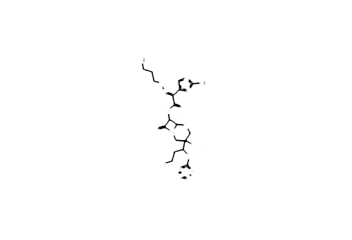 NCCCON=C(C(=O)NC1C(=O)N2CC(C(=O)O)(C(CCN)Sc3nnn[nH]3)CS[C@H]12)c1csc(N)n1